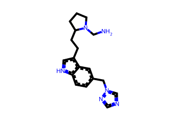 NCN1CCCC1CCc1c[nH]c2ccc(Cn3cncn3)cc12